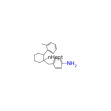 CCCCCCCC1(Cc2ccc(N)cc2)CCCCC1c1ccccc1C